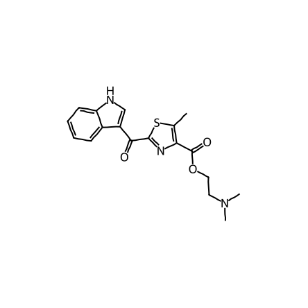 Cc1sc(C(=O)c2c[nH]c3ccccc23)nc1C(=O)OCCN(C)C